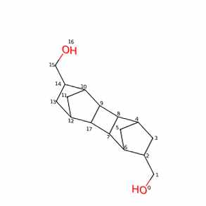 OCC1CC2CC1C1C2C2C3CC(CC3CO)C12